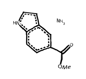 COC(=O)c1ccc2[nH]ccc2c1.N